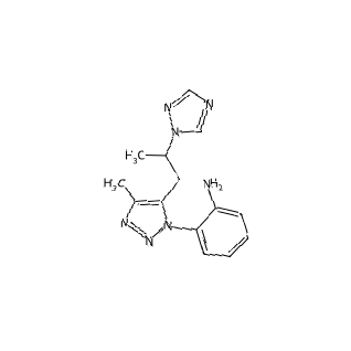 Cc1nnn(-c2ccccc2N)c1CC(C)n1cncn1